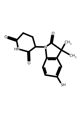 CC1(C)C(=O)N(C2CCC(=O)NC2=O)c2ccc(S)cc21